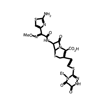 CCn1c(SC=CC2=C(C(=O)O)N3C(=O)C(NC(=O)C(=NOC)c4csc(N)n4)C3SC2)n[nH]c(=O)c1=O